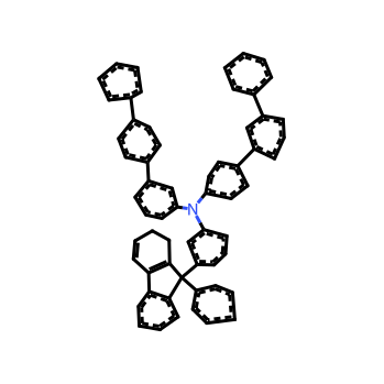 C1=CC2=C(CC1)C(c1ccccc1)(c1cccc(N(c3ccc(-c4cccc(-c5ccccc5)c4)cc3)c3cccc(-c4ccc(-c5ccccc5)cc4)c3)c1)c1ccccc12